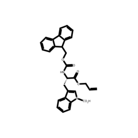 C=CCOC(=O)[C@H](Cc1cn(C(=O)O)c2ccccc12)NC(=O)OCC1c2ccccc2-c2ccccc21